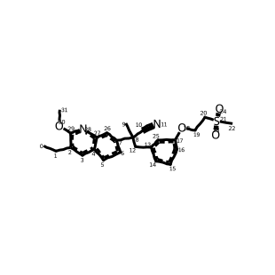 CCc1cc2ccc(C(C)(C#N)Cc3cccc(OCCS(C)(=O)=O)c3)cc2nc1OC